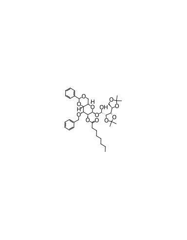 CCCCCCCC(=O)O[C@@H]1[C@H](OC(O)[C@H]2OC(C)(C)O[C@H]2[C@H]2COC(C)(C)O2)O[C@@H]2COC(c3ccccc3)O[C@H]2[C@@H]1OCc1ccccc1